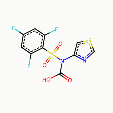 O=C(O)N(c1cscn1)S(=O)(=O)c1c(F)cc(F)cc1F